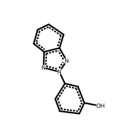 Oc1c[c]cc(-n2nc3ccccc3n2)c1